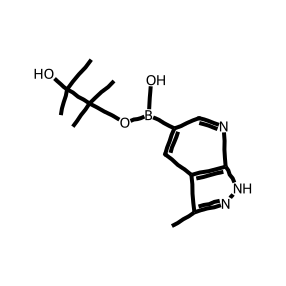 Cc1n[nH]c2ncc(B(O)OC(C)(C)C(C)(C)O)cc12